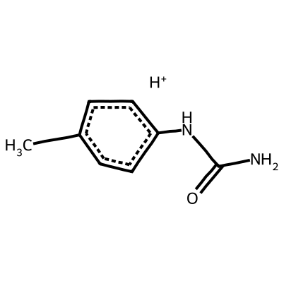 Cc1ccc(NC(N)=O)cc1.[H+]